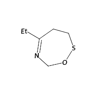 CCC1=NCOSCC1